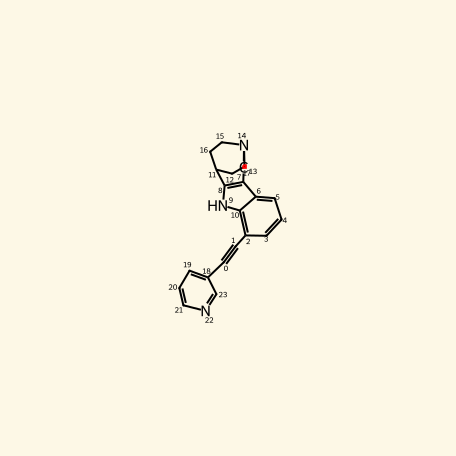 C(#Cc1cccc2c3c([nH]c12)C1CCN(CC1)C3)c1cccnc1